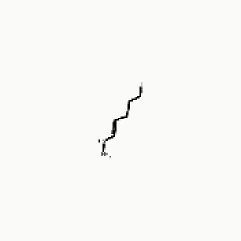 NNC=CCCCI